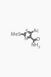 CSc1nc(C(N)=O)c(C(C)=O)s1